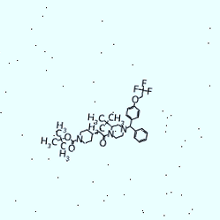 CC(C)(C)OC(=O)N1CCC(CC(=O)N2CCN(C(c3ccccc3)c3ccc(OCC(F)(F)F)cc3)C[C@@H]2C(C)(C)C)CC1